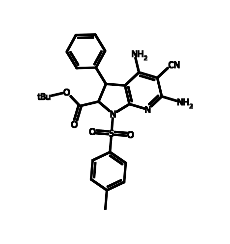 Cc1ccc(S(=O)(=O)N2c3nc(N)c(C#N)c(N)c3C(c3ccccc3)C2C(=O)OC(C)(C)C)cc1